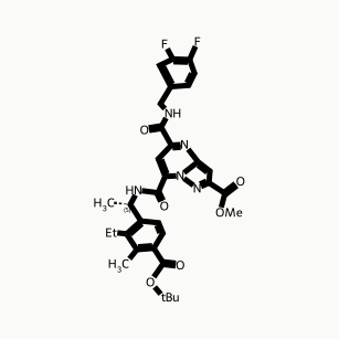 CCc1c([C@H](C)NC(=O)c2cc(C(=O)NCc3ccc(F)c(F)c3)nc3cc(C(=O)OC)nn23)ccc(C(=O)OC(C)(C)C)c1C